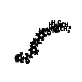 CC(C)(C)c1cc(NC(=O)Nc2ccc(-c3cn4c(n3)sc3cc(CCC(=O)N5CCOCC5)ccc34)cc2)no1